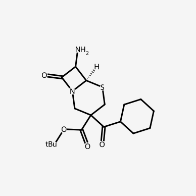 CC(C)(C)OC(=O)C1(C(=O)C2CCCCC2)CS[C@@H]2C(N)C(=O)N2C1